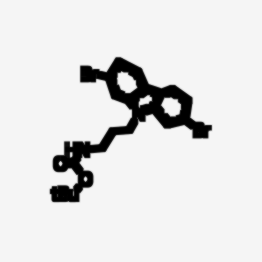 CC(C)(C)OC(=O)NCCCn1c2cc(Br)ccc2c2ccc(Br)cc21